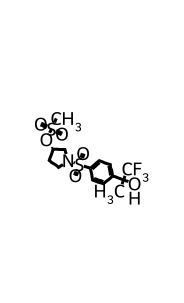 CC(O)(c1ccc(S(=O)(=O)N2CC[C@H](OS(C)(=O)=O)C2)cc1)C(F)(F)F